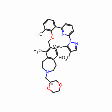 COc1c(C(=O)O)cnn1-c1cccc(-c2cccc(C)c2OCc2ccc3c(c2C)CCN(C[C@H]2COCCO2)CC3)n1